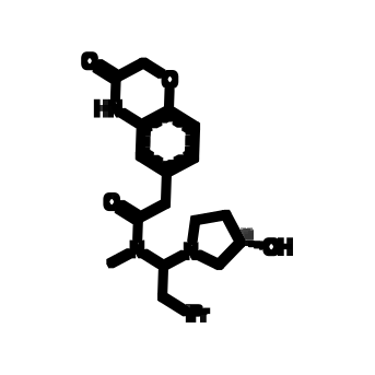 CC(C)CC(N1CC[C@H](O)C1)N(C)C(=O)Cc1ccc2c(c1)NC(=O)CO2